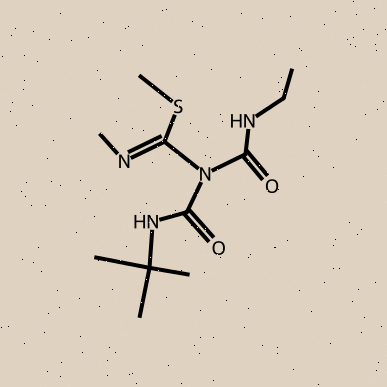 CCNC(=O)N(C(=O)NC(C)(C)C)C(=NC)SC